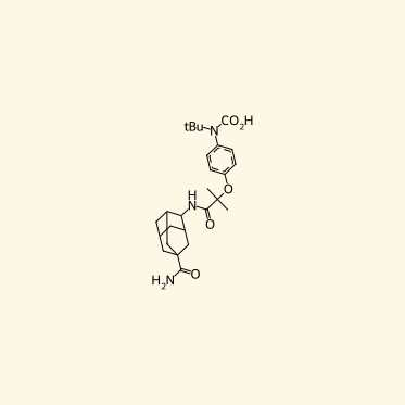 CC(C)(Oc1ccc(N(C(=O)O)C(C)(C)C)cc1)C(=O)NC1C2CC3CC1CC(C(N)=O)(C3)C2